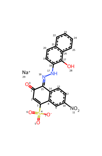 O=C1C=C(S(=O)(=O)[O-])c2cc([N+](=O)[O-])ccc2C1=NNc1ccc2ccccc2c1O.[Na+]